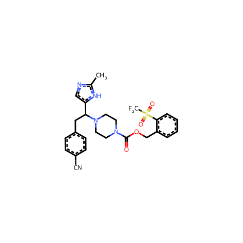 Cc1ncc(C(Cc2ccc(C#N)cc2)N2CCN(C(=O)OCc3ccccc3S(=O)(=O)C(F)(F)F)CC2)[nH]1